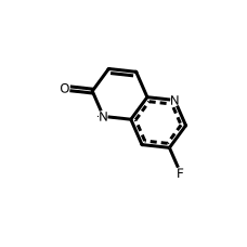 O=C1C=Cc2ncc(F)cc2[N]1